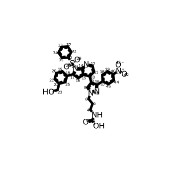 O=C(O)NCCCn1cc(-c2ccnc3c2cc(-c2cccc(CO)c2)n3S(=O)(=O)c2ccccc2)c(-c2ccc([N+](=O)[O-])cc2)n1